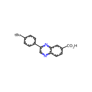 CC(C)(C)c1ccc(-c2cnc3ccc(C(=O)O)cc3n2)cc1